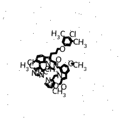 COc1cc(N2CC(C)n3c(c(CCCOc4cc(C)c(Cl)c(C)c4)c4ccc(Cl)c(-c5c(C)ncnc5C)c43)C2=O)c2c(c1)cc(C(=O)O)n2Cc1cc(C)ccn1